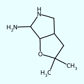 CC1(C)CC2CNC(N)C2O1